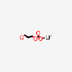 COC(=O)OCCC[O-].[Li+]